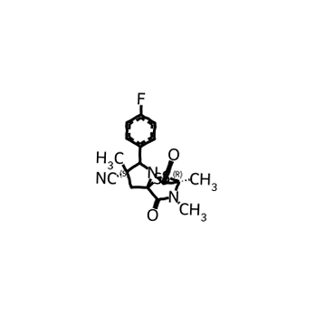 CN1C(=O)C23C[C@](C)(C#N)C(c4ccc(F)cc4)N2C(=O)[C@@]1(C)SS3